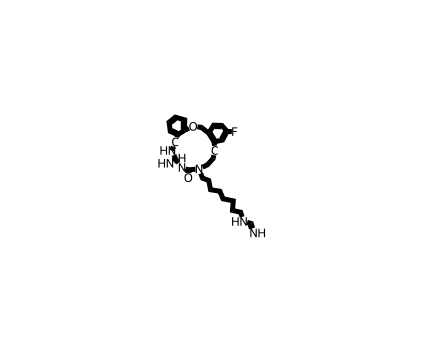 N=CNCCCCCCCCN1CCCc2cc(F)ccc2COc2ccccc2CNC(=N)NC1=O